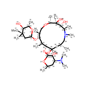 CC[C@H]1OC[C@H](C)[C@@H](O[C@H]2C[C@@](C)(OC)[C@@H](O)[C@H](C)O2)[C@H](C)[C@@H](O[C@@H]2O[C@H](C)C[C@H](N(C)C)[C@H]2O)[C@](C)(O)C[C@@H](C)CN(C)[C@H](C)[C@@H](O)[C@]1(C)O